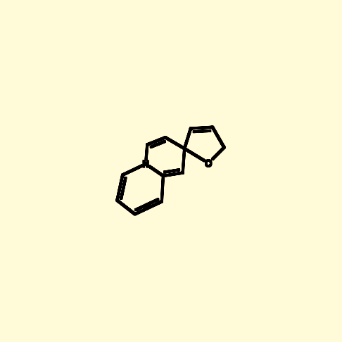 C1=CC2=CC3(C=CCO3)C=CN2C=C1